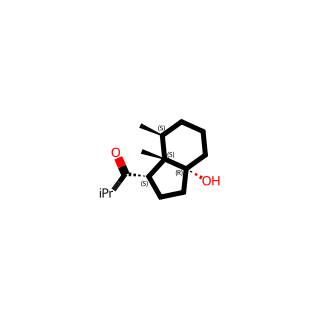 CC(C)C(=O)[C@H]1CC[C@]2(O)CCC[C@H](C)[C@@]12C